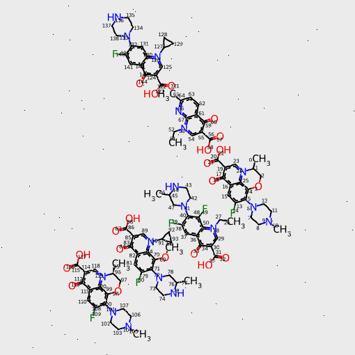 CC1COc2c(N3CCN(C)CC3)c(F)cc3c(=O)c(C(=O)O)cn1c23.CCn1cc(C(=O)O)c(=O)c2cc(F)c(N3CCNC(C)C3)c(F)c21.CCn1cc(C(=O)O)c(=O)c2ccc(C)nc21.COc1c(N2CCNC(C)C2)c(F)cc2c(=O)c(C(=O)O)cn(C3CC3)c12.C[C@H]1COc2c(N3CCN(C)CC3)c(F)cc3c(=O)c(C(=O)O)cn1c23.O=C(O)c1cn(C2CC2)c2cc(N3CCNCC3)c(F)cc2c1=O